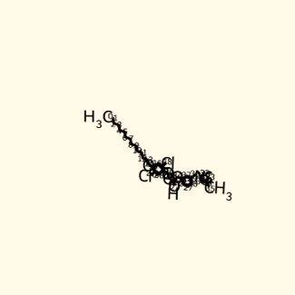 CCCCCCCCCCCCCCOc1cc(Cl)c(OO[PH](=O)Oc2cccc(C[n+]3csc(C)c3)c2)cc1Cl